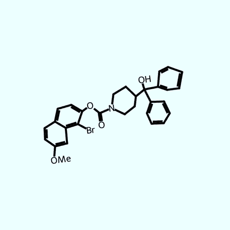 COc1ccc2ccc(OC(=O)N3CCC(C(O)(c4ccccc4)c4ccccc4)CC3)c(Br)c2c1